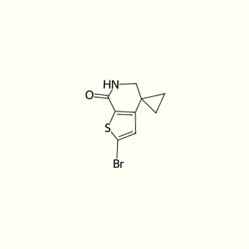 O=C1NCC2(CC2)c2cc(Br)sc21